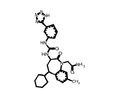 Cc1ccc2c(c1)N(CC(N)=O)C(=O)C(NC(=O)Nc1cccc(-c3nnn[nH]3)c1)CC2C1CCCCC1